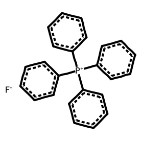 [F-].c1ccc([P+](c2ccccc2)(c2ccccc2)c2ccccc2)cc1